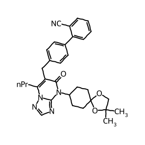 CCCc1c(Cc2ccc(-c3ccccc3C#N)cc2)c(=O)n(C2CCC3(CC2)OCC(C)(C)O3)c2ncnn12